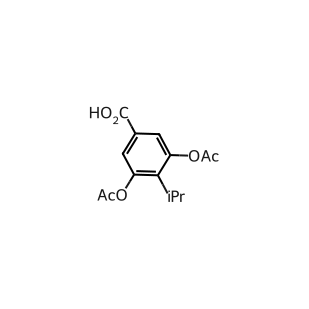 CC(=O)Oc1cc(C(=O)O)cc(OC(C)=O)c1C(C)C